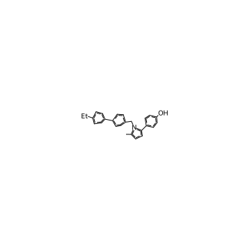 CCc1ccc(-c2ccc(Cn3c(C)ccc3-c3ccc(O)cc3)cc2)cc1